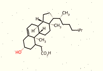 CC(C)CCC[C@@H](C)[C@H]1CC[C@H]2[C@@H]3CC=C4C[C@@H](O)CC([CH]C(=O)O)[C@]4(C)[C@H]3CC[C@]12C